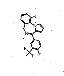 CC(F)(F)c1cc(C2=NCc3cccc(Cl)c3-n3cccc32)ccc1F